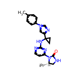 Cc1ccc(-n2cnc(C3(Nc4nccc(N5C(=O)NC[C@@H]5C(C)C)n4)CC3)c2)cc1